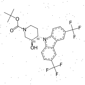 CC(C)(C)OC(=O)N1CC[C@H](n2c3ccc(C(F)(F)F)cc3c3cc(C(F)(F)F)ccc32)[C@@H](O)C1